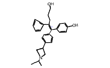 CC(C)N1CC(c2ccc(/C(=C(/CCCO)c3ccccc3)c3ccc(O)cc3)cc2)C1